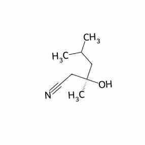 CC(C)C[C@@](C)(O)CC#N